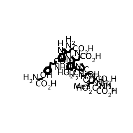 CC(O)C(N)C(=O)O.CSCCC(N)C(=O)O.NC(CO)C(=O)O.NC(Cc1c[nH]c2ccccc12)C(=O)O.NC(Cc1c[nH]c2ccccc12)C(=O)O.NC(Cc1ccccc1)C(=O)O.NCC(=O)O.NCC(=O)O.O=C(O)[C@@H]1CCCN1